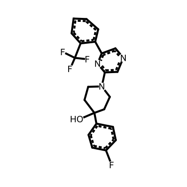 OC1(c2ccc(F)cc2)CCN(c2cncc(-c3ccccc3C(F)(F)F)n2)CC1